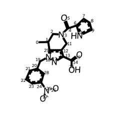 CC1CN(C(=O)c2ccc[nH]2)Cc2c(C(=O)O)nn(Cc3cccc([N+](=O)[O-])c3)c21